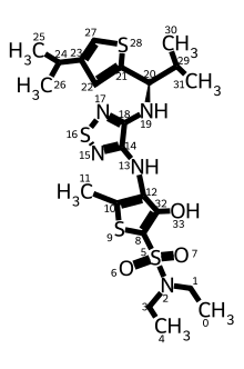 CCN(CC)S(=O)(=O)c1sc(C)c(Nc2nsnc2N[C@@H](c2cc(C(C)C)cs2)C(C)C)c1O